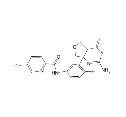 C=C1SC(N)=NC2(c3cc(NC(=O)c4ccc(Cl)cn4)ccc3F)COCC12